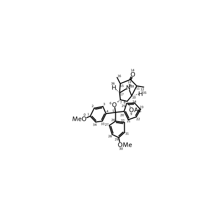 COc1ccc(C(O[C@H]2[C@@H](OC(C)=O)[C@@H]3C(C)C(=O)C(C)[C@H]2N3C)(c2ccccc2)c2ccc(OC)cc2)cc1